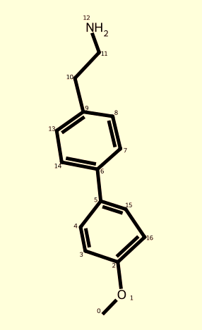 COc1ccc(-c2ccc(CCN)cc2)cc1